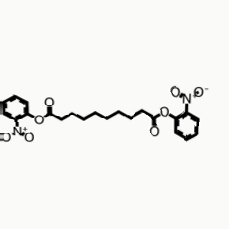 O=C(CCCCCCCCC(=O)Oc1ccccc1[N+](=O)[O-])Oc1ccccc1[N+](=O)[O-]